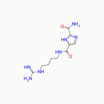 N=C(N)NCCCCNC(=O)c1cnc(C(N)=O)[nH]1